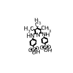 Cc1c(Nc2ccc(S(=O)(=O)O)cc2)nc(Nc2ccc(S(=O)(=O)O)cc2)c(C)c1C